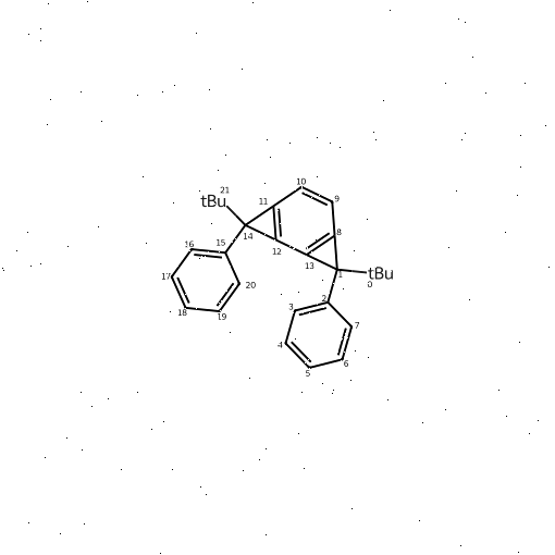 CC(C)(C)C1(c2ccccc2)c2ccc3c(c21)C3(c1ccccc1)C(C)(C)C